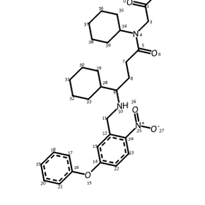 O=C(O)CN(C(=O)CCC(NCc1cc(Oc2ccccc2)ccc1[N+](=O)[O-])C1CCCCC1)C1CCCCC1